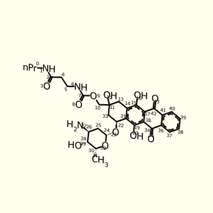 CCCNC(=O)CCNC(=O)OCC1(O)Cc2c(O)c3c(c(O)c2[C@@H](O[C@H]2C[C@H](N)[C@@H](O)[C@@H](C)O2)C1)C(=O)c1ccccc1C3=O